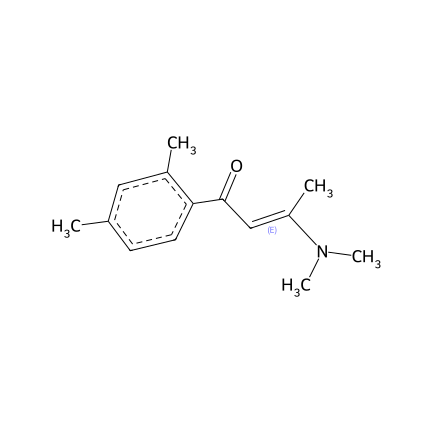 C/C(=C\C(=O)c1ccc(C)cc1C)N(C)C